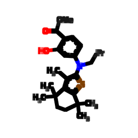 COC(=O)c1ccc(N(CC(C)C)c2sc3c(c2C)C(C)(C)CCC3(C)C)cc1O